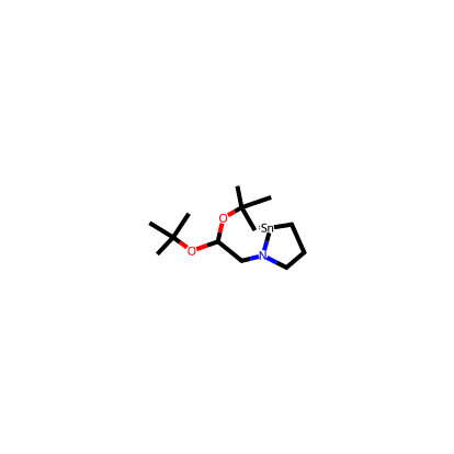 CC(C)(C)OC(C[N]1CC[CH2][Sn]1)OC(C)(C)C